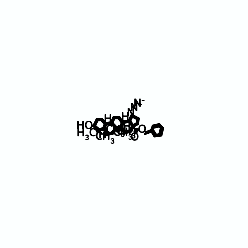 CC1(C)[C@@H](O)CC[C@]2(C)[C@H]3CC[C@@H]4[C@H]5[C@H](N=[N+]=[N-])CC[C@]5(C(=O)OCc5ccccc5)CC[C@@]4(C)[C@]3(C)CC[C@@H]12